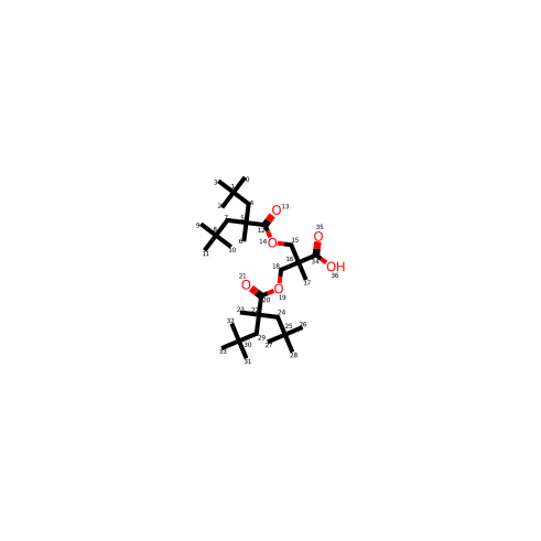 CC(C)(C)CC(C)(CC(C)(C)C)C(=O)OCC(C)(COC(=O)C(C)(CC(C)(C)C)CC(C)(C)C)C(=O)O